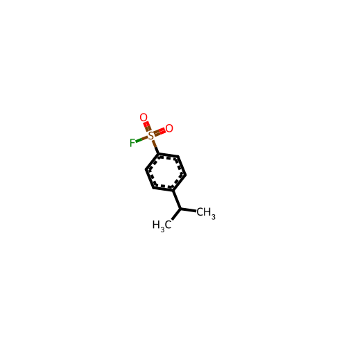 CC(C)c1ccc(S(=O)(=O)F)cc1